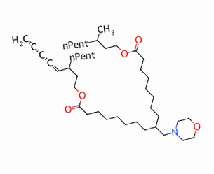 C=C=C=C=CC(CCCCC)CCOC(=O)CCCCCCCC(CCCCCCCC(=O)OCCC(C)CCCCC)CN1CCOCC1